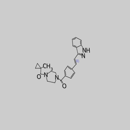 CC1(C(=O)N2CCN(C(=O)c3ccc(/C=C/c4n[nH]c5ccccc45)cc3)CC2)CC1